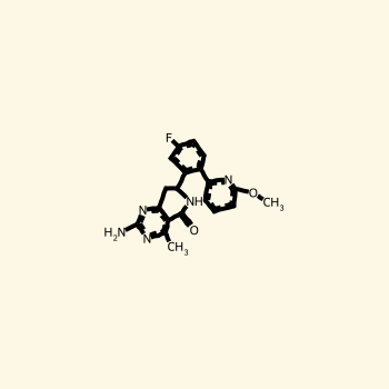 COc1cccc(-c2ccc(F)cc2C2Cc3nc(N)nc(C)c3C(=O)N2)n1